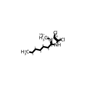 CCCCCCc1[nH]c(Cl)c(Cl)[n+]1C.[I-]